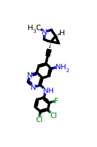 CN1C[C@H]2C[C@@]2(C#Cc2cc3ncnc(Nc4ccc(Cl)c(Cl)c4F)c3cc2N)C1